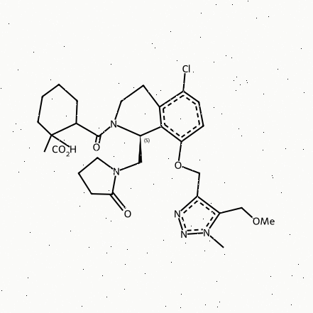 COCc1c(COc2ccc(Cl)c3c2[C@@H](CN2CCCC2=O)N(C(=O)C2CCCCC2(C)C(=O)O)CC3)nnn1C